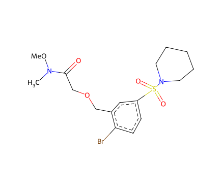 CON(C)C(=O)COCc1cc(S(=O)(=O)N2CCCCC2)ccc1Br